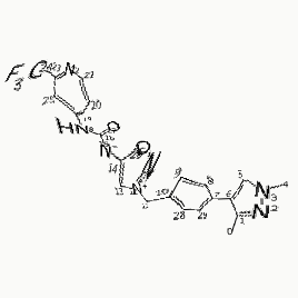 Cc1nn(C)cc1-c1ccc(C[n+]2cc([N-]C(=O)Nc3ccnc(C(F)(F)F)c3)on2)cc1